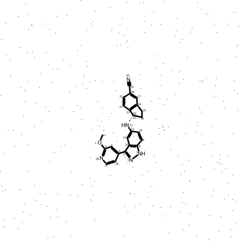 COc1cc(-c2n[nH]c3ccc(N[C@H]4CCc5cc(C#N)ccc54)cc23)ccn1